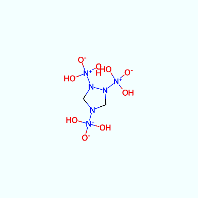 [O-][N+](O)(O)N1CN([N+]([O-])(O)O)N([N+]([O-])(O)O)C1